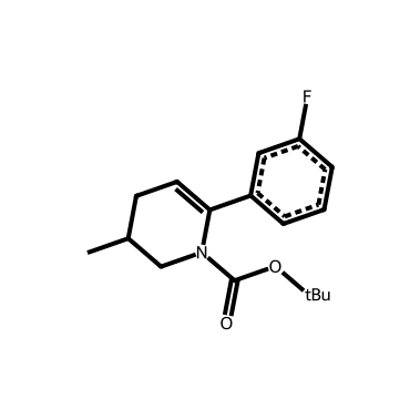 CC1CC=C(c2cccc(F)c2)N(C(=O)OC(C)(C)C)C1